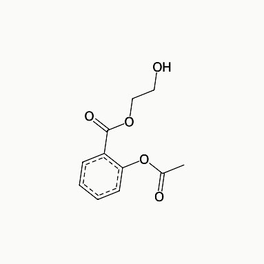 CC(=O)Oc1ccccc1C(=O)OCCO